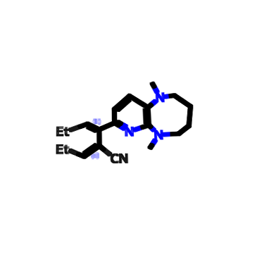 CC/C=C(C#N)\C(=C/CC)c1ccc2c(n1)N(C)CCCCN2C